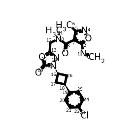 C=Nc1onc(C)c1C(=O)N(C)Cc1nn([C@H]2C[C@H](c3ccc(Cl)cc3)C2)c(=O)o1